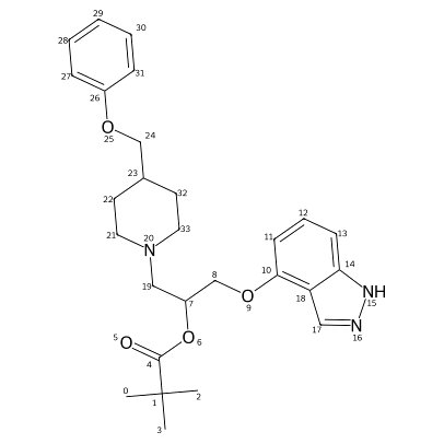 CC(C)(C)C(=O)OC(COc1cccc2[nH]ncc12)CN1CCC(COc2ccccc2)CC1